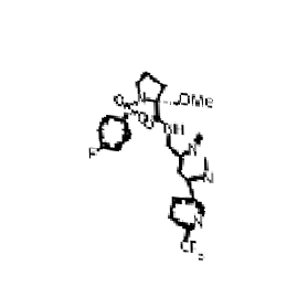 C=N/C(=C\C(=N/C)c1ccc(C(F)(F)F)nc1)CNC(=O)[C@]1(COC)CCCN1S(=O)(=O)c1ccc(F)cc1